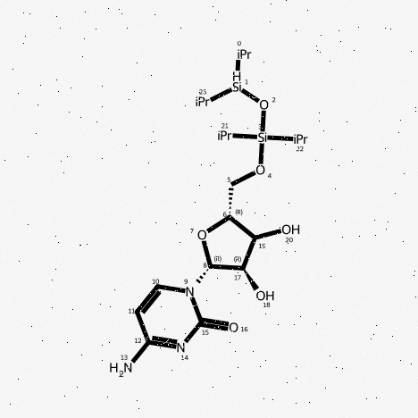 CC(C)[SiH](O[Si](OC[C@H]1O[C@@H](n2ccc(N)nc2=O)[C@H](O)C1O)(C(C)C)C(C)C)C(C)C